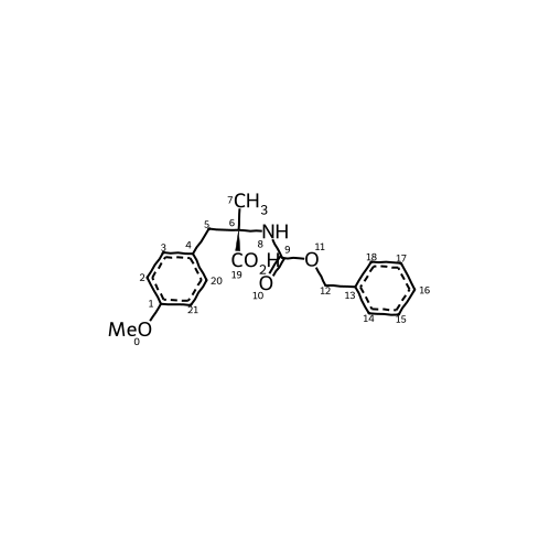 COc1ccc(C[C@](C)(NC(=O)OCc2ccccc2)C(=O)O)cc1